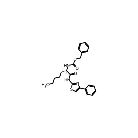 CCCCC[C@H](NC(=O)OCc1ccccc1)C(=O)Nc1nc(-c2ccccc2)cs1